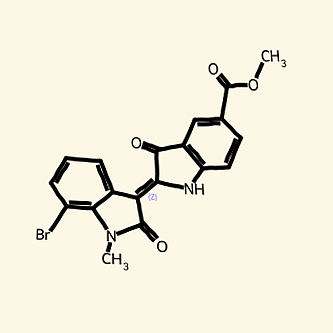 COC(=O)c1ccc2c(c1)C(=O)/C(=C1/C(=O)N(C)c3c(Br)cccc31)N2